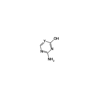 NC1=N[CH]=[Y][C](O)=N1